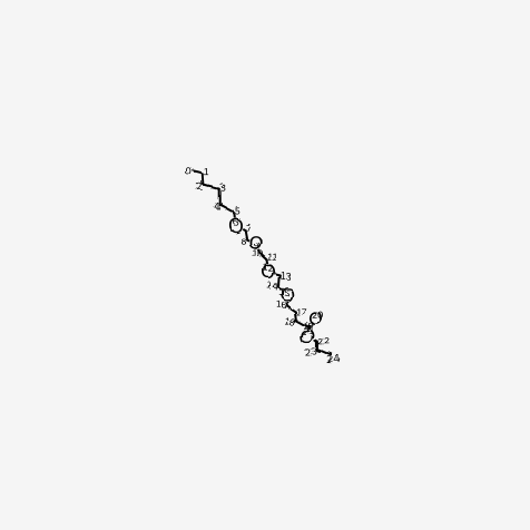 CCCCCCOCCOCCOCCOCCCC(=O)OCCC